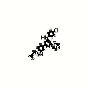 Clc1ccc(Nc2cc(-c3ccc4c(c3)ncn4CC3CC3)nc(N3CCOCC3)n2)cc1